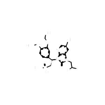 CCOc1cc([C@H](CS(C)(=O)=O)n2c(=O)n(CC(F)F)c3cc(Cl)cnc32)ccc1OC